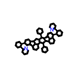 c1ccc(-c2c3cc4c5ccc(-c6ccccc6-c6ccccn6)cc5c5cccc(c3c(-c3ccccc3)c3c6cccc7c(-c8ccccc8-c8ccccn8)ccc(c23)c76)c54)cc1